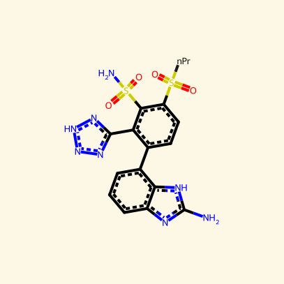 CCCS(=O)(=O)c1ccc(-c2cccc3nc(N)[nH]c23)c(-c2nn[nH]n2)c1S(N)(=O)=O